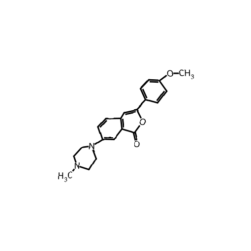 COc1ccc(-c2cc3ccc(N4CCN(C)CC4)cc3c(=O)o2)cc1